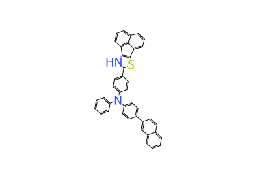 c1ccc(N(c2ccc(-c3ccc4ccccc4c3)cc2)c2ccc(C3NC4=C(S3)c3cccc5cccc4c35)cc2)cc1